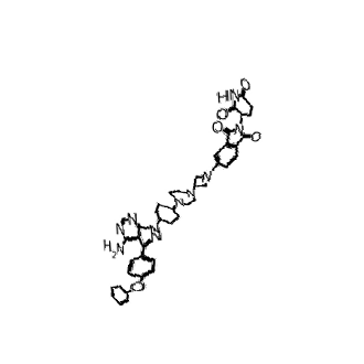 Nc1ncnc2c1c(-c1ccc(Oc3ccccc3)cc1)nn2C1CCC(N2CCN(C3CN(c4ccc5c(c4)C(=O)N(C4CCC(=O)NC4=O)C5=O)C3)CC2)CC1